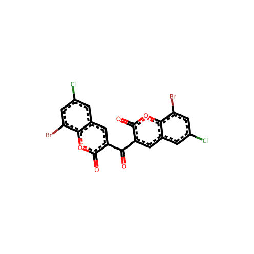 O=C(c1cc2cc(Cl)cc(Br)c2oc1=O)c1cc2cc(Cl)cc(Br)c2oc1=O